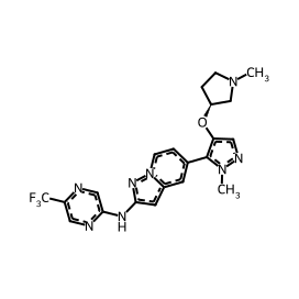 CN1CC[C@H](Oc2cnn(C)c2-c2ccn3nc(Nc4cnc(C(F)(F)F)cn4)cc3c2)C1